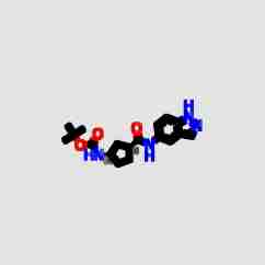 CC(C)(C)OC(=O)N[C@H]1CC[C@H](C(=O)Nc2ccc3[nH]ncc3c2)C1